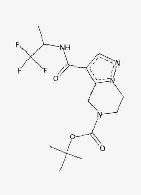 CC(NC(=O)c1cnn2c1CN(C(=O)OC(C)(C)C)CC2)C(F)(F)F